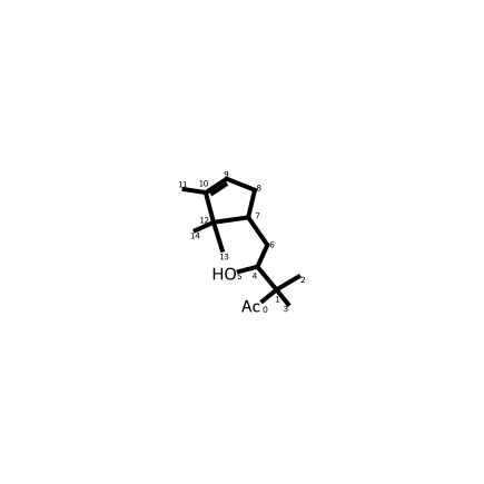 CC(=O)C(C)(C)C(O)CC1CC=C(C)C1(C)C